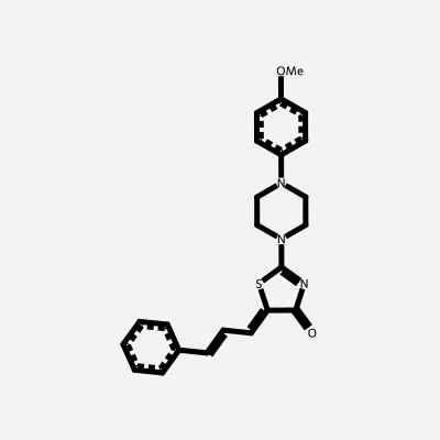 COc1ccc(N2CCN(C3=NC(=O)C(=CC=Cc4ccccc4)S3)CC2)cc1